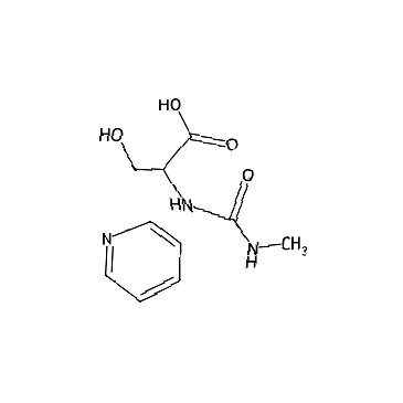 CNC(=O)NC(CO)C(=O)O.c1ccncc1